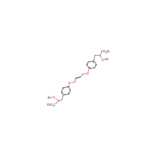 CCOC(=O)C(Cc1ccc(OCC=CCOc2ccc(CC(OCC)C(=O)OCC)cc2)cc1)OCC